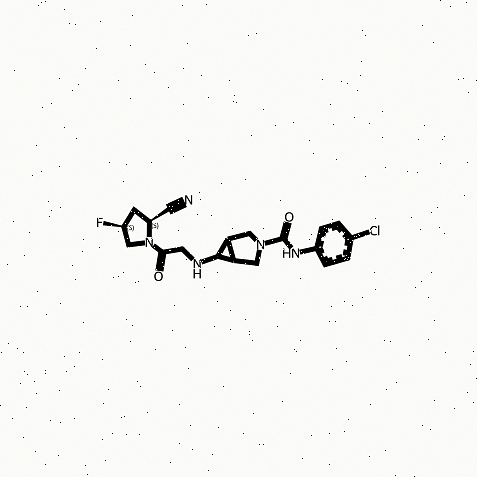 N#C[C@@H]1C[C@H](F)CN1C(=O)CNC1C2CN(C(=O)Nc3ccc(Cl)cc3)CC21